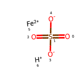 O=S(=O)([O-])[O-].[Fe+2].[H+]